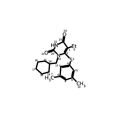 CCc1c(Sc2cc(C)cc(C)c2)n(CC2CCCCC2)c(=O)[nH]c1=O